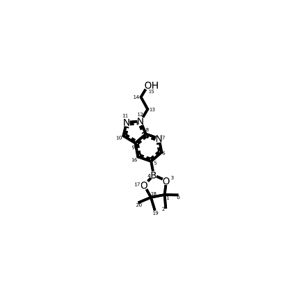 CC1(C)OB(c2cnc3c(cnn3CCO)c2)OC1(C)C